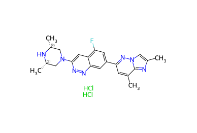 Cc1cn2nc(-c3cc(F)c4cc(N5C[C@@H](C)N[C@@H](C)C5)nnc4c3)cc(C)c2n1.Cl.Cl